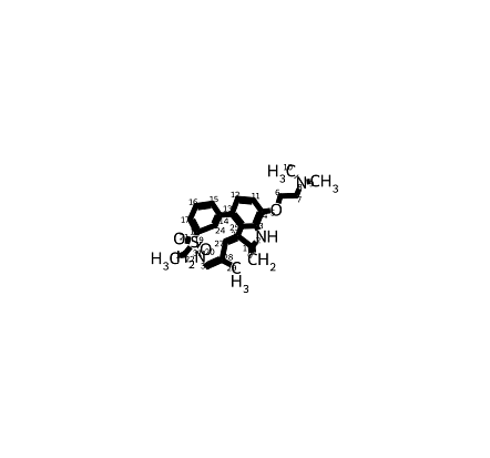 C=c1[nH]c2c(OCCN(C)C)ccc(-c3cccc(S(=O)(=O)CC)c3)c2/c1=C/C(C)=C\N